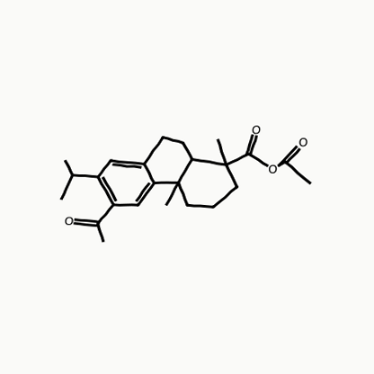 CC(=O)OC(=O)C1(C)CCCC2(C)c3cc(C(C)=O)c(C(C)C)cc3CCC12